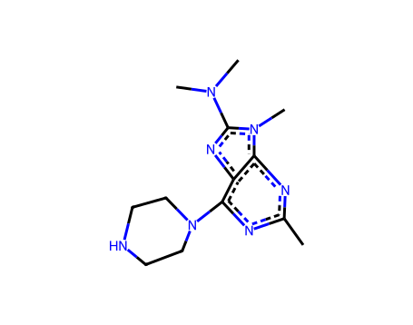 Cc1nc(N2CCNCC2)c2nc(N(C)C)n(C)c2n1